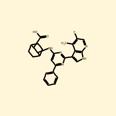 Cc1c(F)cnc2[nH]cc(-c3nc(NC4C5CCC(CC5)C4C(=O)O)cc(-c4ccccc4)n3)c12